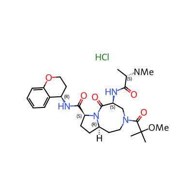 CN[C@@H](C)C(=O)N[C@H]1CN(C(=O)C(C)(C)OC)CC[C@H]2CC[C@@H](C(=O)N[C@@H]3CCOc4ccccc43)N2C1=O.Cl